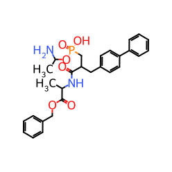 CC(N)OP(=O)(O)CC(Cc1ccc(-c2ccccc2)cc1)C(=O)NC(C)C(=O)OCc1ccccc1